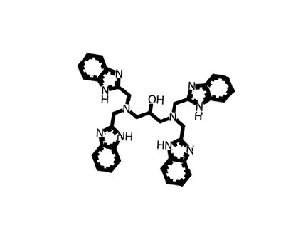 OC(CN(Cc1nc2ccccc2[nH]1)Cc1nc2ccccc2[nH]1)CN(Cc1nc2ccccc2[nH]1)Cc1nc2ccccc2[nH]1